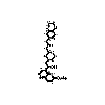 COc1ccc2nccc(C(O)CN3CCOC(CNCc4ccc5c(c4)OCCO5)C3)c2n1